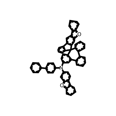 c1ccc(-c2ccc(N(c3ccc4c(c3)-c3ccccc3-c3ccccc3C43c4ccccc4-c4cc5c(cc43)oc3ccccc35)c3ccc4c(c3)oc3ccccc34)cc2)cc1